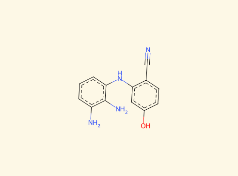 N#Cc1ccc(O)cc1Nc1cccc(N)c1N